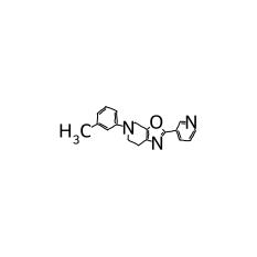 Cc1cccc(N2CCc3nc(-c4cccnc4)oc3C2)c1